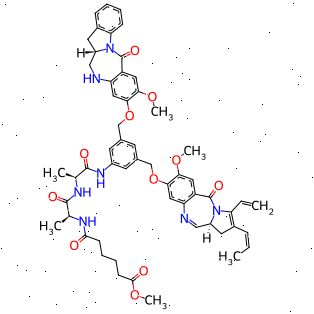 C=CC1=C(/C=C\C)C[C@H]2C=Nc3cc(OCc4cc(COc5cc6c(cc5OC)C(=O)N5c7ccccc7C[C@H]5CN6)cc(NC(=O)[C@H](C)NC(=O)[C@H](C)NC(=O)CCCCC(=O)OC)c4)c(OC)cc3C(=O)N12